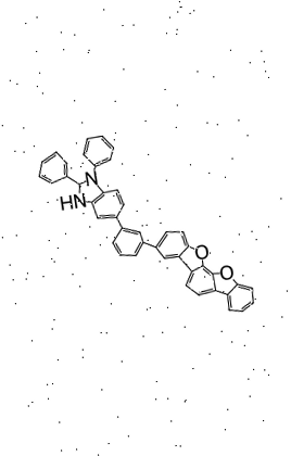 c1ccc(C2Nc3cc(-c4cccc(-c5ccc6oc7c(ccc8c9ccccc9oc87)c6c5)c4)ccc3N2c2ccccc2)cc1